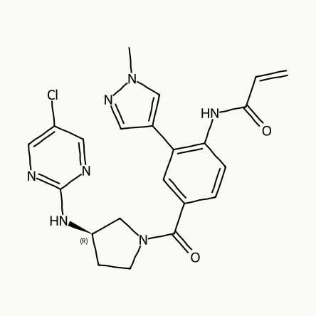 C=CC(=O)Nc1ccc(C(=O)N2CC[C@@H](Nc3ncc(Cl)cn3)C2)cc1-c1cnn(C)c1